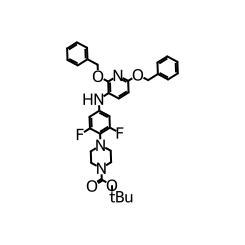 CC(C)(C)OC(=O)N1CCN(c2c(F)cc(Nc3ccc(OCc4ccccc4)nc3OCc3ccccc3)cc2F)CC1